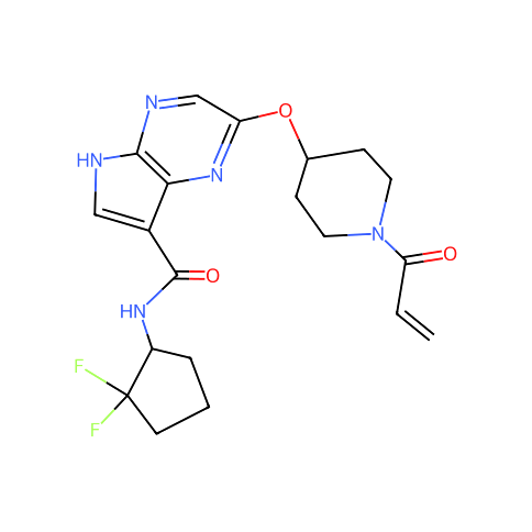 C=CC(=O)N1CCC(Oc2cnc3[nH]cc(C(=O)NC4CCCC4(F)F)c3n2)CC1